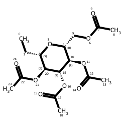 CC[C@@H]1O[C@H](COC(C)=O)[C@@H](OC(C)=O)[C@H](OC(C)=O)[C@H]1OC(C)=O